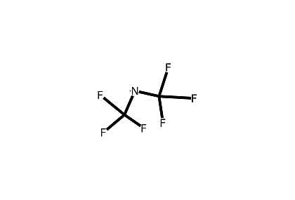 FC(F)(F)[N]C(F)(F)F